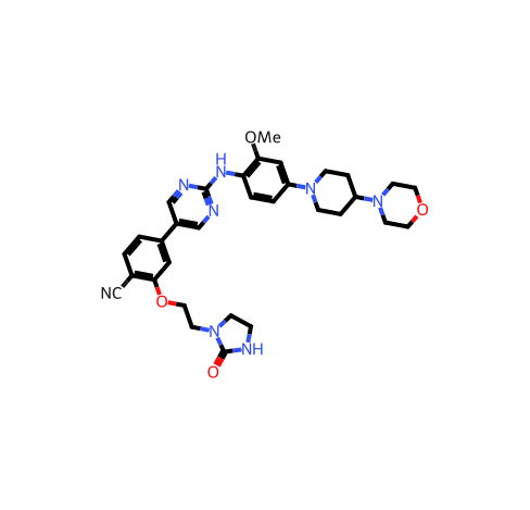 COc1cc(N2CCC(N3CCOCC3)CC2)ccc1Nc1ncc(-c2ccc(C#N)c(OCCN3CCNC3=O)c2)cn1